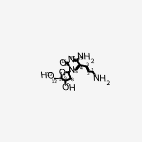 NC/C=C/c1cn([C@H]2CC(O)[C@@H](CO)O2)c(=O)nc1N